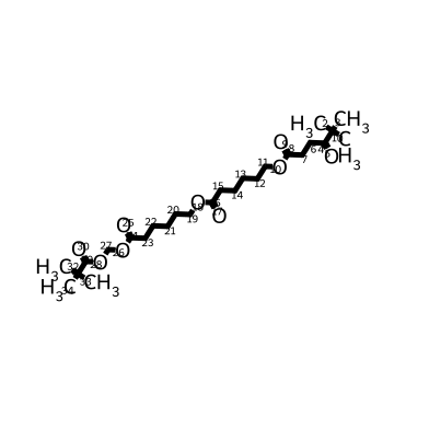 CC(C)(C)C(=O)CCC(=O)OCCCCCC(=O)OCCCCCC(=O)OCOC(=O)C(C)(C)C